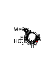 CC[C@@H]1[C@@H]2CN(C(=O)[C@H](C(C)(C)C)NC(=O)O[C@H]3[C@H](CCCCCc4nc5ccc(OC)cc5nc4O2)[C@@H]2CCC3(C)C2)[C@@H]1C(=O)O